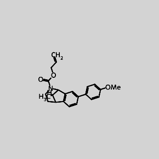 C=CCOC(=O)N1CCC2c3ccc(-c4ccc(OC)cc4)cc3C1[C@H]2C